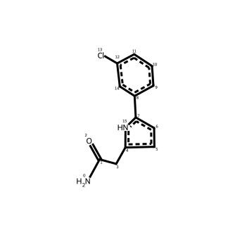 NC(=O)Cc1ccc(-c2cccc(Cl)c2)[nH]1